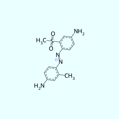 Cc1cc(N)ccc1/N=N/c1ccc(N)cc1S(C)(=O)=O